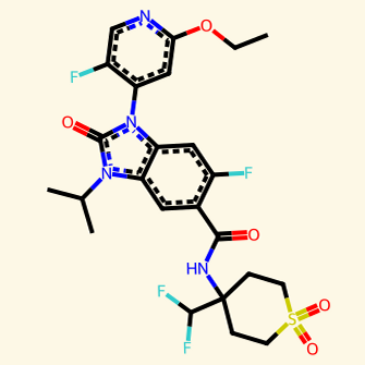 CCOc1cc(-n2c(=O)n(C(C)C)c3cc(C(=O)NC4(C(F)F)CCS(=O)(=O)CC4)c(F)cc32)c(F)cn1